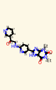 CCn1c(=O)c2[nH]c(-c3ccc(NCC(=O)c4cccnc4)nc3)nc2n(CC)c1=O